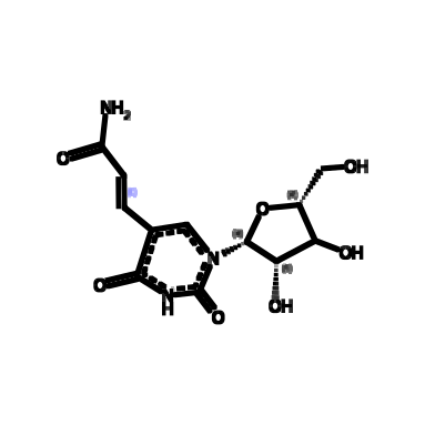 NC(=O)/C=C/c1cn([C@@H]2O[C@H](CO)C(O)[C@@H]2O)c(=O)[nH]c1=O